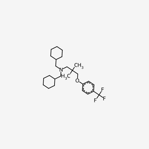 CC(C)(COc1ccc(C(F)(F)F)cc1)CN(CC1CCCCC1)CC1CCCCC1